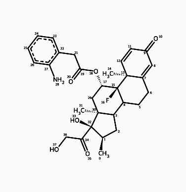 C[C@@H]1CC2C3CCC4=CC(=O)C=C[C@]4(C)[C@@]3(F)[C@@H](OC(=O)Cc3ccccc3N)C[C@]2(C)[C@@]1(O)C(=O)CO